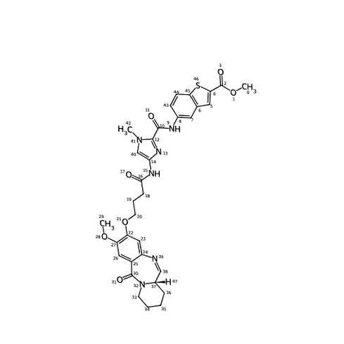 COC(=O)c1cc2cc(NC(=O)c3nc(NC(=O)CCCOc4cc5c(cc4OC)C(=O)N4CCCC[C@H]4C=N5)cn3C)ccc2s1